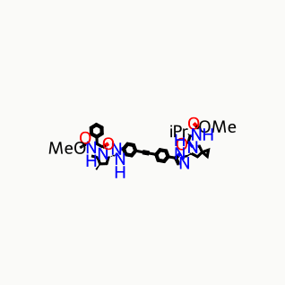 COC(=O)N[C@H](C(=O)N1CC2(CC2)C[C@H]1c1ncc(-c2ccc(C#Cc3ccc4nc([C@@H]5C[C@@H](C)C(C)N5C(=O)[C@H](NC(=O)OC)c5ccccc5)[nH]c4c3)cc2)[nH]1)C(C)C